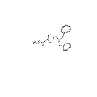 O=C(O)N[C@H]1CC[C@H](CN(Cc2ccccc2)Cc2ccccc2)CC1